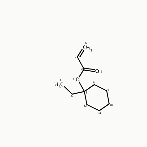 C=CC(=O)OC1(CC)CCCCC1